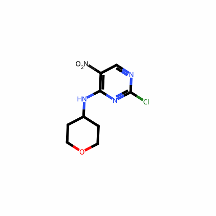 O=[N+]([O-])c1cnc(Cl)nc1NC1CCOCC1